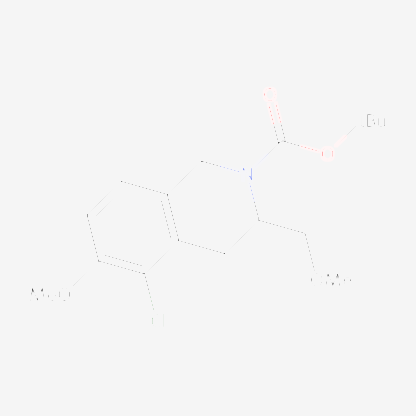 COCC1Cc2c(ccc(OC)c2Cl)CN1C(=O)OC(C)(C)C